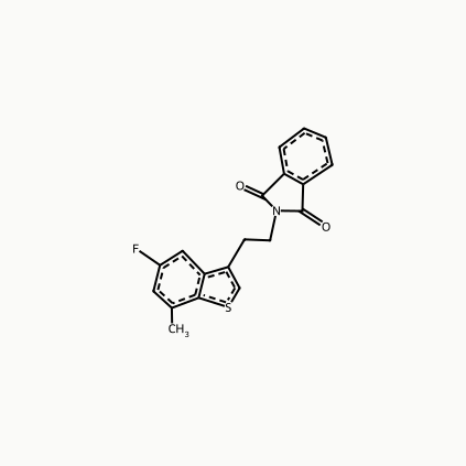 Cc1cc(F)cc2c(CCN3C(=O)c4ccccc4C3=O)csc12